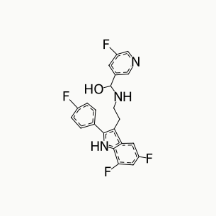 OC(NCCc1c(-c2ccc(F)cc2)[nH]c2c(F)cc(F)cc12)c1cncc(F)c1